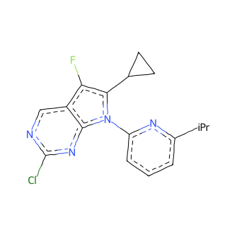 CC(C)c1cccc(-n2c(C3CC3)c(F)c3cnc(Cl)nc32)n1